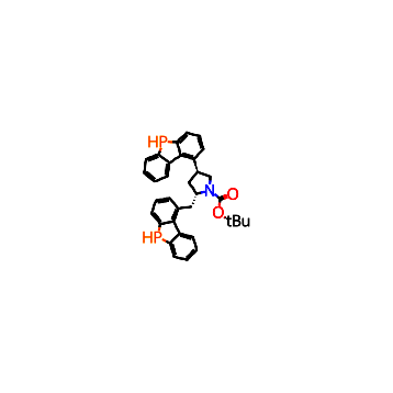 CC(C)(C)OC(=O)N1C[C@H](c2cccc3[pH]c4ccccc4c23)C[C@H]1Cc1cccc2[pH]c3ccccc3c12